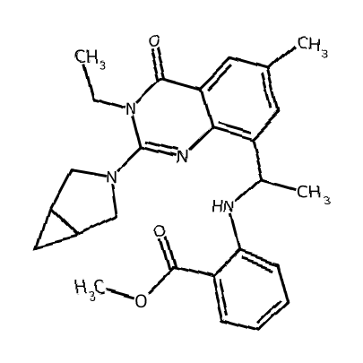 CCn1c(N2CC3CC3C2)nc2c(C(C)Nc3ccccc3C(=O)OC)cc(C)cc2c1=O